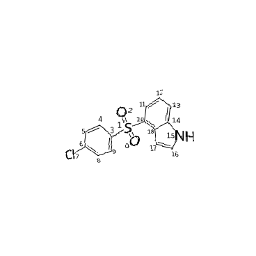 O=S(=O)(c1ccc(Cl)cc1)c1cccc2[nH]ccc12